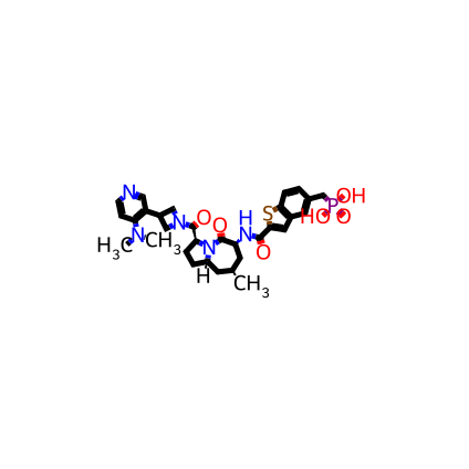 C[C@@H]1C[C@H]2CC[C@@H](C(=O)N3CC(c4cnccc4N(C)C)C3)N2C(=O)[C@@H](NC(=O)c2cc3cc(CP(=O)(O)O)ccc3s2)C1